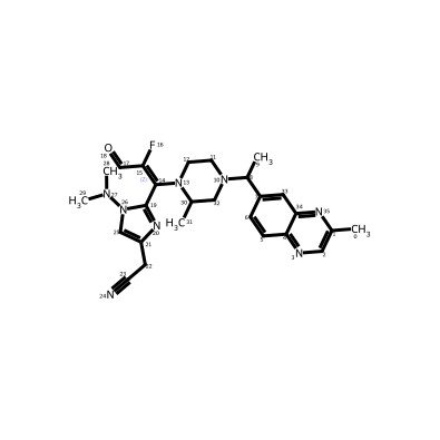 Cc1cnc2ccc(C(C)N3CCN(/C(=C(\F)C=O)c4nc(CC#N)cn4N(C)C)C(C)C3)cc2n1